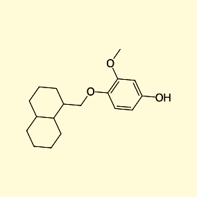 COc1cc(O)ccc1OCC1CCCC2CCCCC21